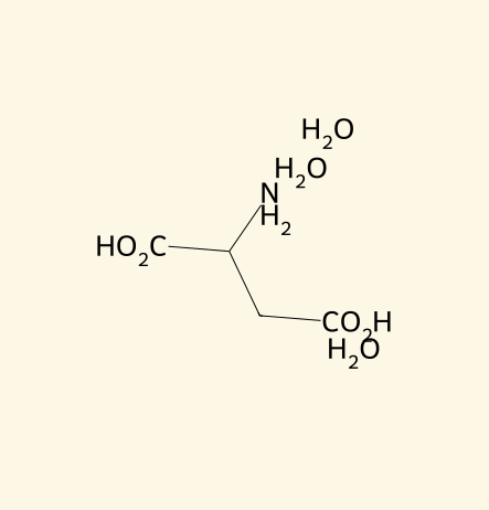 NC(CC(=O)O)C(=O)O.O.O.O